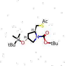 CC(=O)SC[C@@H]1C[C@@H](O[Si](C)(C)C(C)(C)C)CN1C(=O)OC(C)(C)C